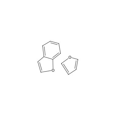 c1ccc2occc2c1.c1ccoc1